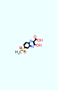 CS(=O)(=O)c1ccc2nc(C(=O)O)c(O)nc2c1